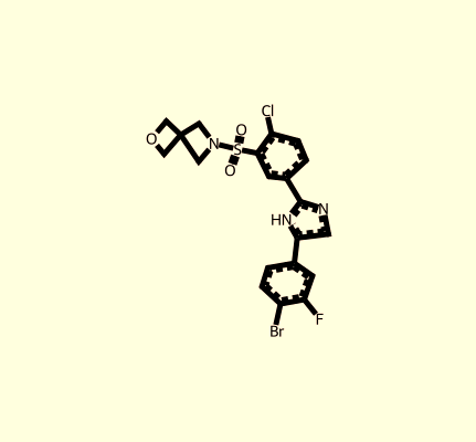 O=S(=O)(c1cc(-c2ncc(-c3ccc(Br)c(F)c3)[nH]2)ccc1Cl)N1CC2(COC2)C1